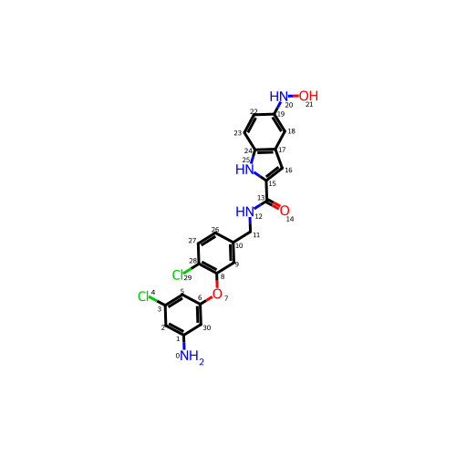 Nc1cc(Cl)cc(Oc2cc(CNC(=O)c3cc4cc(NO)ccc4[nH]3)ccc2Cl)c1